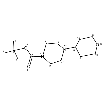 CC(C)(C)OC(=O)N1CCN(C2CCOCC2)CC1